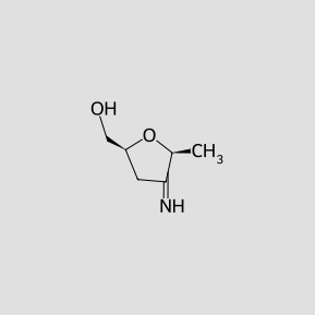 C[C@@H]1O[C@H](CO)CC1=N